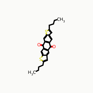 CCCCc1cc2cc3c(cc2s1)C(=O)c1cc2sc(CCCC)cc2cc1C3=O